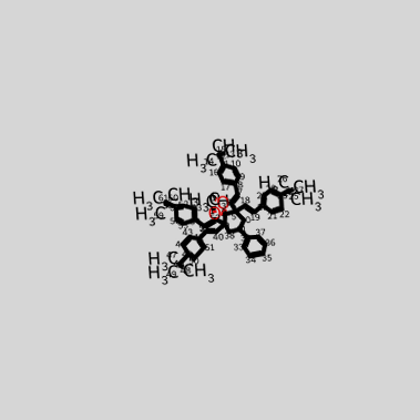 COC1(OC)C(/C=C/c2ccc(C(C)(C)C)cc2)(/C=C/c2ccc(C(C)(C)C)cc2)CC(c2ccccc2)CC1(/C=C/c1ccc(C(C)(C)C)cc1)/C=C/c1ccc(C(C)(C)C)cc1